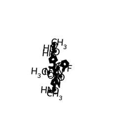 CNC(=O)c1ccc(-n2c(=O)c3c(CN(C)C)c(-c4ccc(NC(=O)NOC)cc4)sc3n(Cc3c(F)cccc3F)c2=O)nn1